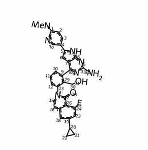 CNc1ccc(-c2cc3c(-c4cccc(-n5ccc6cc(C7CC7)cc(F)c6c5=O)c4CO)nc(N)nc3[nH]2)cn1